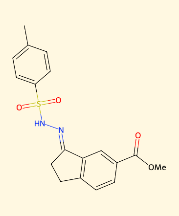 COC(=O)c1ccc2c(c1)C(=NNS(=O)(=O)c1ccc(C)cc1)CC2